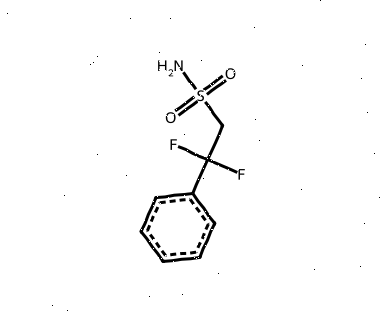 NS(=O)(=O)CC(F)(F)c1ccccc1